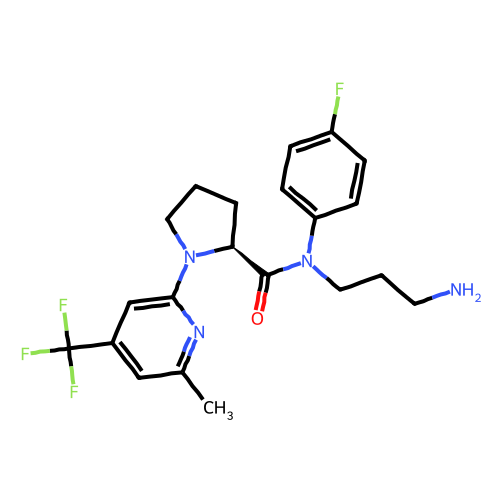 Cc1cc(C(F)(F)F)cc(N2CCC[C@H]2C(=O)N(CCCN)c2ccc(F)cc2)n1